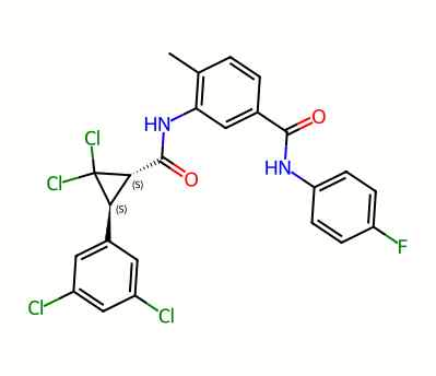 Cc1ccc(C(=O)Nc2ccc(F)cc2)cc1NC(=O)[C@@H]1[C@@H](c2cc(Cl)cc(Cl)c2)C1(Cl)Cl